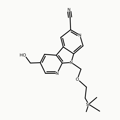 C[Si](C)(C)CCOCn1c2cnc(C#N)cc2c2cc(CO)cnc21